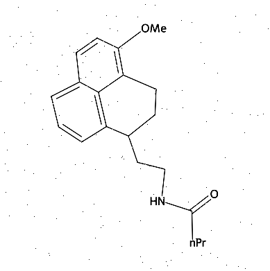 CCCC(=O)NCCC1CCc2c(OC)ccc3cccc1c23